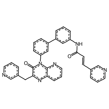 O=C(C=Cc1cccnc1)Nc1cccc(-c2cccc(-n3c(=O)c(Cc4cccnc4)nc4cccnc43)c2)c1